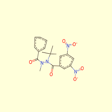 CN(C(=O)c1ccccc1)N(C(=O)c1cc([N+](=O)[O-])cc([N+](=O)[O-])c1)C(C)(C)C